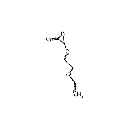 CCOCCOC1OC1=O